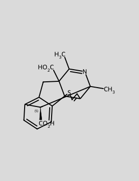 CC1=NC2(C)C3C=CSC34c3cccc(c3CC14C(=O)O)[C@@H]2C(=O)O